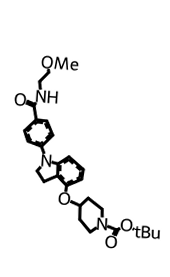 COCCNC(=O)c1ccc(N2CCc3c(OC4CCN(C(=O)OC(C)(C)C)CC4)cccc32)cc1